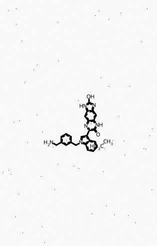 CC(=O)O.NCc1cccc(Cn2cc(-c3nc4cc5[nH]c(O)nc5cc4[nH]c3=O)c3ccccc32)c1